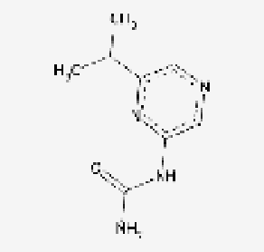 CC(C)c1cncc(NC(N)=O)n1